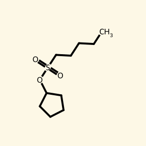 CCCCCS(=O)(=O)OC1CCCC1